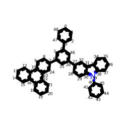 c1ccc(-c2cc(-c3ccc4c5ccccc5c5ccccc5c4c3)cc(-c3ccc4c(c3)c3ccccc3n4-c3ccccc3)c2)cc1